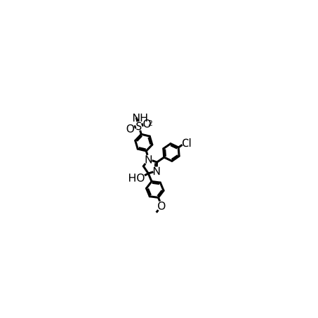 COc1ccc(C2(O)CN(c3ccc(S(N)(=O)=O)cc3)C(c3ccc(Cl)cc3)=N2)cc1